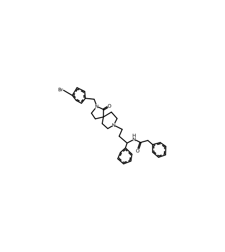 O=C(Cc1ccccc1)NC(CCN1CCC2(CC1)CCN(Cc1ccc(Br)cc1)C2=O)c1ccccc1